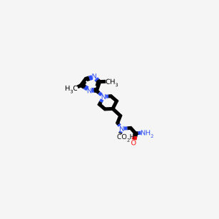 Cc1cnc(C)c(N2CCC(CCN(CC(N)=O)C(=O)O)CC2)n1